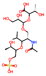 CC(=O)N[C@@H](COC(OC(C(=O)O)[C@H](C)O)[C@@H](O)CO)C(OC(COS(=O)(=O)O)[C@@H](C)O)C(C)C